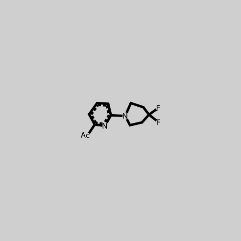 CC(=O)c1cccc(N2CCC(F)(F)CC2)n1